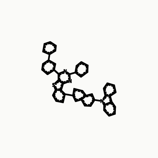 c1ccc(-c2cccc(-c3nc(-c4ccccc4)nc4c3sc3cccc(-c5ccc6cc(-n7c8ccccc8c8ccccc87)ccc6c5)c34)c2)cc1